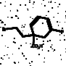 O=C(O)C1(CCBr)C=CC=C(F)C1